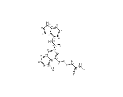 CNC(=O)NCCOc1nc([C@H](C)Nc2ncnc3[nH]cnc23)cc2cccc(Cl)c12